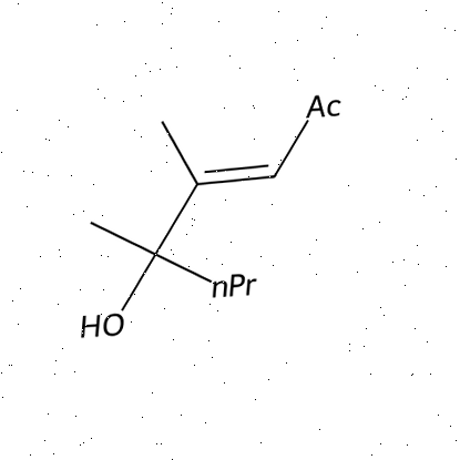 CCCC(C)(O)C(C)=CC(C)=O